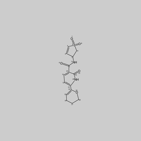 O=C(NC1C=CS(=O)(=O)C1)c1ccc(C2=CCCCO2)[nH]c1=O